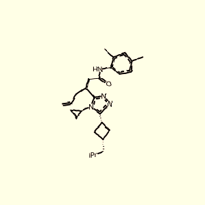 C=CCC(CC(=O)Nc1ccc(C)cc1C)c1nnc([C@H]2C[C@@H](CC(C)C)C2)n1C1CC1